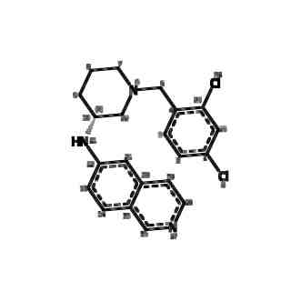 Clc1ccc(CN2CCC[C@@H](Nc3ccc4cnccc4c3)C2)c(Cl)c1